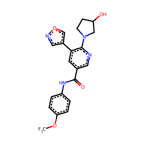 O=C(Nc1ccc(OC(F)(F)F)cc1)c1cnc(N2CCC(O)C2)c(-c2cnoc2)c1